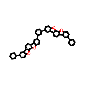 c1ccc(-c2ccc3oc4c(ccc5c6cc(-c7cccc(-c8ccc9oc%10c(ccc%11c%12cc(-c%13ccccc%13)ccc%12oc%11%10)c9c8)c7)ccc6oc54)c3c2)cc1